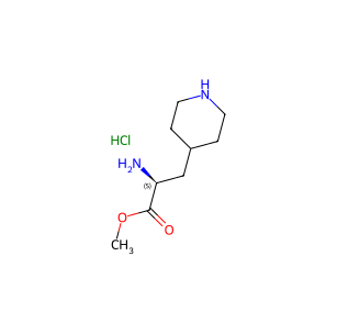 COC(=O)[C@@H](N)CC1CCNCC1.Cl